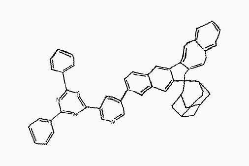 c1ccc(-c2nc(-c3ccccc3)nc(-c3cncc(-c4ccc5cc6c(cc5c4)C4(c5cc7ccccc7cc5-6)C5CC6CC(C5)CC4C6)c3)n2)cc1